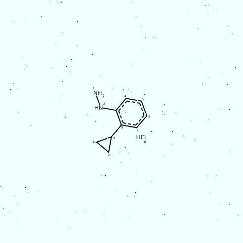 Cl.NNc1ccccc1C1CC1